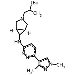 Cc1nn(C)cc1-c1ccc(NC2[C@H]3CN(CC(C)C(C)(C)C)C[C@@H]23)nn1